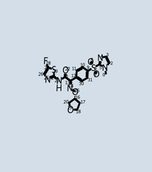 Cn1ccnc1S(=O)(=O)c1ccc(/C(=N\O[C@@H]2CCOC2)C(=O)Nc2ncc(F)s2)cc1